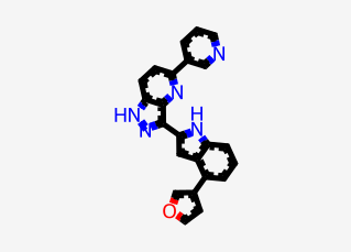 c1cncc(-c2ccc3[nH]nc(-c4cc5c(-c6ccoc6)cccc5[nH]4)c3n2)c1